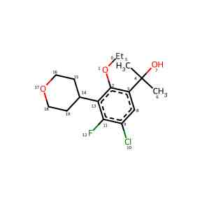 CCOc1c(C(C)(C)O)cc(Cl)c(F)c1C1CCOCC1